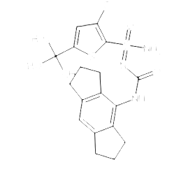 CC(C)(O)c1cc(F)c(S(N)(=O)=NC(=O)Nc2c3c(cc4c2CCC4)CCC3)s1